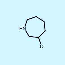 [O]C1CCCCNC1